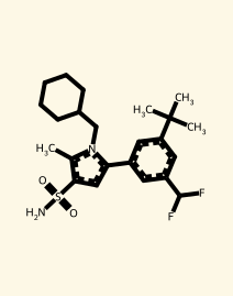 Cc1c(S(N)(=O)=O)cc(-c2cc(C(F)F)cc(C(C)(C)C)c2)n1CC1CCCCC1